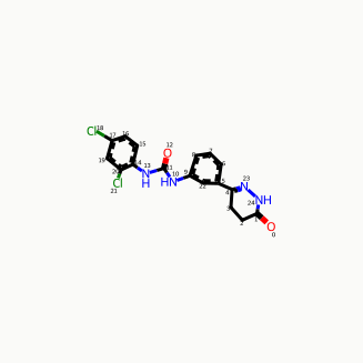 O=C1CCC(c2cccc(NC(=O)Nc3ccc(Cl)cc3Cl)c2)=NN1